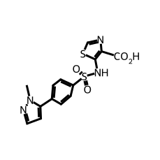 Cn1nccc1-c1ccc(S(=O)(=O)Nc2scnc2C(=O)O)cc1